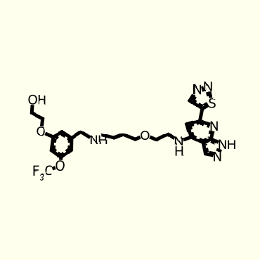 OCCOc1cc(CNCCCCOCCNc2cc(-c3cnns3)nc3[nH]ncc23)cc(OC(F)(F)F)c1